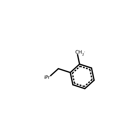 [CH2]c1ccccc1CC(C)C